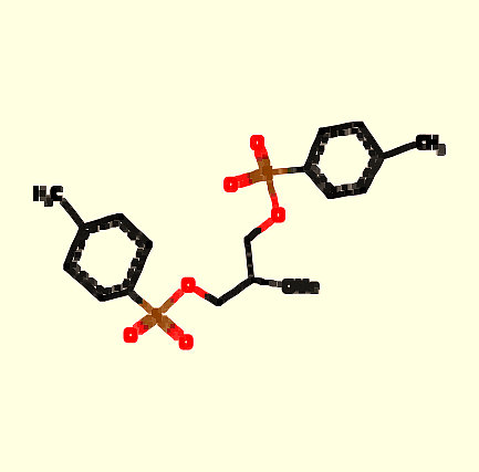 COC(COS(=O)(=O)c1ccc(C)cc1)COS(=O)(=O)c1ccc(C)cc1